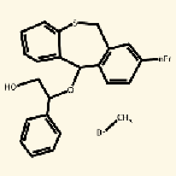 CBr.CCCc1ccc2c(c1)CSc1ccccc1C2OC(CO)c1ccccc1